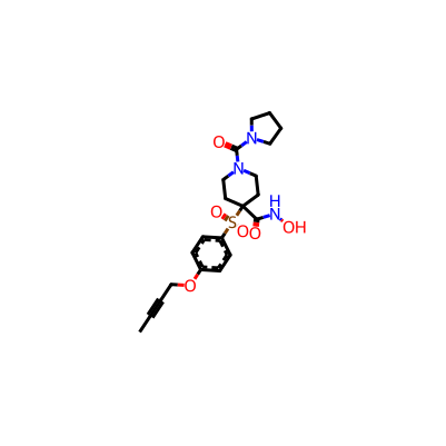 CC#CCOc1ccc(S(=O)(=O)C2(C(=O)NO)CCN(C(=O)N3CCCC3)CC2)cc1